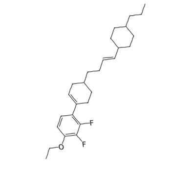 CCCC1CCC(C=CCCC2CC=C(c3ccc(OCC)c(F)c3F)CC2)CC1